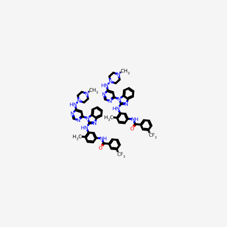 Cc1ccc(NC(=O)c2cccc(C(F)(F)F)c2)cc1Nc1nc2ccccc2n1-c1cc(NN2CCN(C)CC2)ncn1.Cc1ccc(NC(=O)c2cccc(C(F)(F)F)c2)cc1Nc1nc2ccccc2n1-c1cc(NN2CCN(C)CC2)ncn1